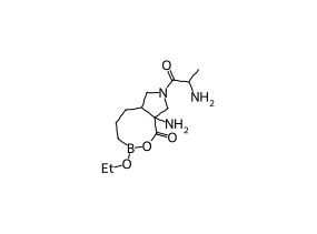 CCOB1CCCC2CN(C(=O)C(C)N)CC2(N)C(=O)O1